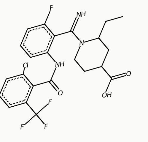 CCC1CC(C(=O)O)CCN1C(=N)c1c(F)cccc1NC(=O)c1c(Cl)cccc1C(F)(F)F